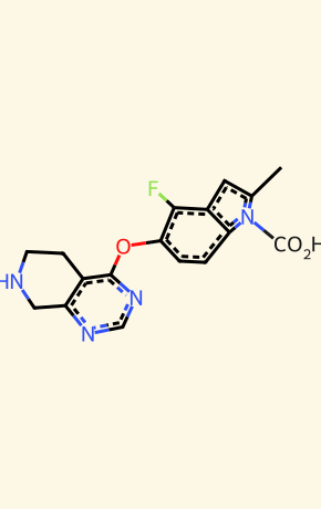 Cc1cc2c(F)c(Oc3ncnc4c3CCNC4)ccc2n1C(=O)O